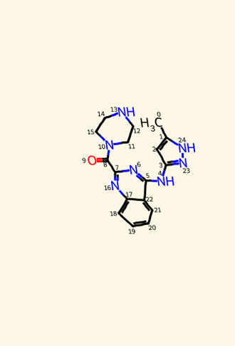 Cc1cc(Nc2nc(C(=O)N3CCNCC3)nc3ccccc23)n[nH]1